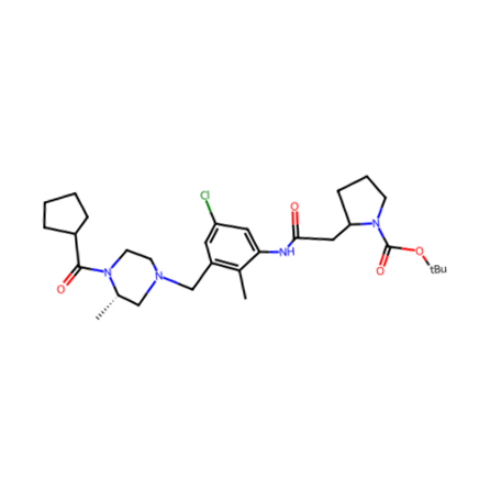 Cc1c(CN2CCN(C(=O)C3CCCC3)[C@@H](C)C2)cc(Cl)cc1NC(=O)CC1CCCN1C(=O)OC(C)(C)C